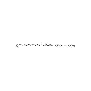 ClCCCCCCC=CCCOCOCOCCC=CCCCCCCCl